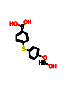 OBOc1ccc(Sc2ccc(B(O)O)cc2)cc1